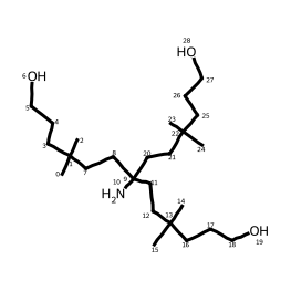 CC(C)(CCCO)CCC(N)(CCC(C)(C)CCCO)CCC(C)(C)CCCO